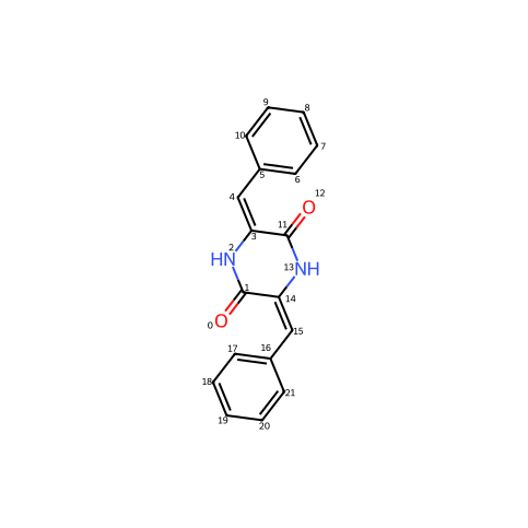 O=c1[nH]/c(=C/c2ccccc2)c(=O)[nH]/c1=C/c1ccccc1